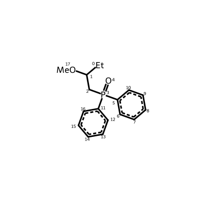 CCC(CP(=O)(c1ccccc1)c1ccccc1)OC